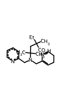 CCC(C)(CC(C)(C)N(CC1=CCCC=N1)Cc1ccccn1)C(=O)O